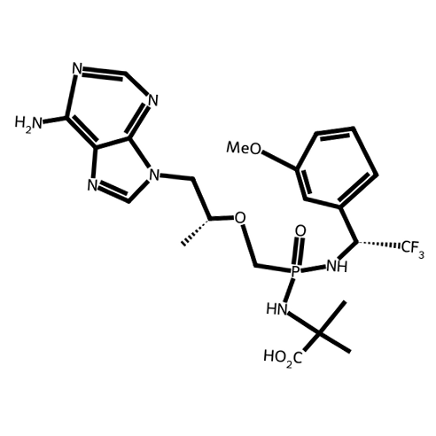 COc1cccc([C@@H](NP(=O)(CO[C@H](C)Cn2cnc3c(N)ncnc32)NC(C)(C)C(=O)O)C(F)(F)F)c1